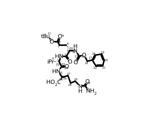 CC(C)[C@H](NC(=O)[C@H](CCC(=O)OC(C)(C)C)NC(=O)OCc1ccccc1)C(=O)N[C@@H](CCCNC(N)=O)C(=O)O